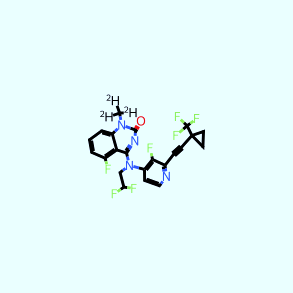 [2H]C([2H])([2H])n1c(=O)nc(N(CC(F)F)c2ccnc(C#CC3(C(F)(F)F)CC3)c2F)c2c(F)cccc21